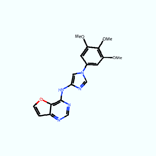 COc1cc(-n2cnc(Nc3ncnc4ccoc34)c2)cc(OC)c1OC